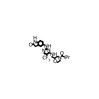 CC(C)C(=O)N1CCOC(CNc2nc(Nc3ccc4c(c3)CC(=O)N4)ncc2C(F)(F)F)C1